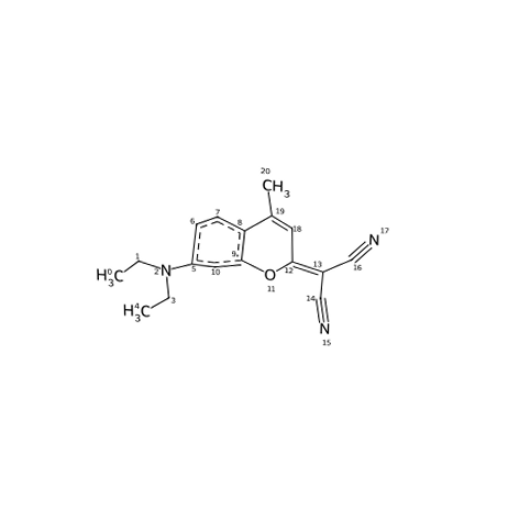 CCN(CC)c1ccc2c(c1)OC(=C(C#N)C#N)C=C2C